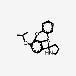 CC(C)Oc1ccc2c3c1Oc1ccccc1N3C21CCCN1